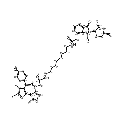 Cc1sc2c(c1C)C(c1ccc(Cl)cc1)=N[C@@H](CC(=O)NCCCCCCCCCNC(=O)Cc1cccc3c1C(=O)N(C1CCC(=O)NC1=O)C3=O)c1nnc(C)n1-2